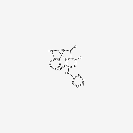 O=C1NC2(CNc3ccccc32)n2c1c(Cl)cc(Nc1ccncn1)c2=O